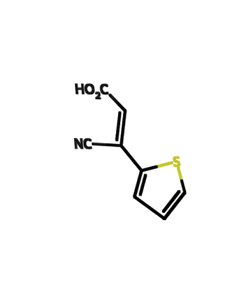 N#C/C(=C\C(=O)O)c1cccs1